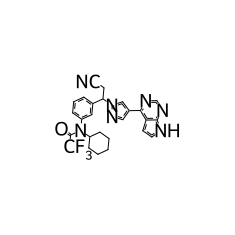 N#CCC(c1cccc(N(C(=O)C(F)(F)F)C2CCCCC2)c1)n1cc(-c2ncnc3[nH]ccc23)cn1